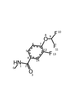 CNC(=O)c1ccc(OC(F)F)c(F)c1